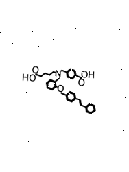 O=C(O)CCCCN(Cc1ccc(C(=O)O)cc1)Cc1ccccc1OCc1ccc(/C=C/c2ccccc2)cc1